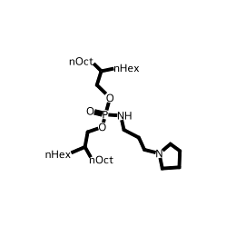 CCCCCCCCC(CCCCCC)COP(=O)(NCCCN1CCCC1)OCC(CCCCCC)CCCCCCCC